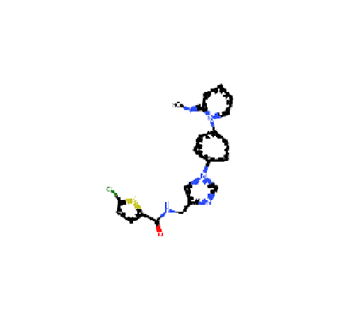 N#CN=c1ccccn1-c1ccc(-n2cnc(CNC(=O)c3ccc(Cl)s3)c2)cc1